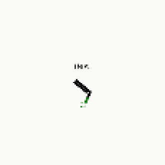 C=CCl.[Al].[He]